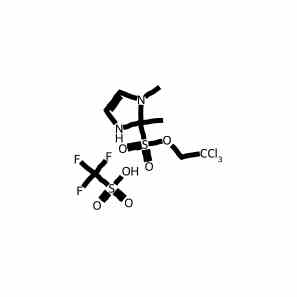 CN1C=CNC1(C)S(=O)(=O)OCC(Cl)(Cl)Cl.O=S(=O)(O)C(F)(F)F